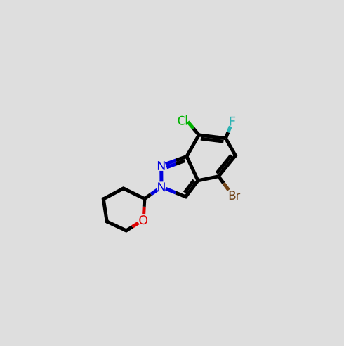 Fc1cc(Br)c2cn(C3CCCCO3)nc2c1Cl